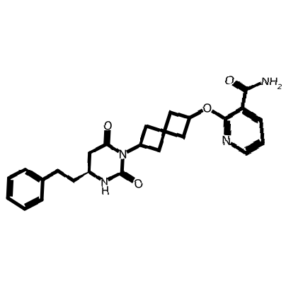 NC(=O)c1cccnc1OC1CC2(C1)CC(N1C(=O)C[C@H](CCc3ccccc3)NC1=O)C2